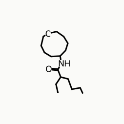 CCCCC(CC)C(=O)NC1CCCCCCCCC1